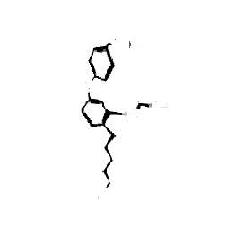 CCCCCCc1ccc(Nc2ccc(C)cc2)cc1OCC